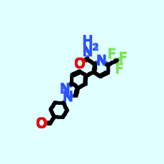 NC(=O)c1nc(C(F)(F)F)ccc1-c1ccc2nn(C3CCC(C=O)CC3)cc2c1